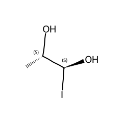 C[C@H](O)[C@@H](O)I